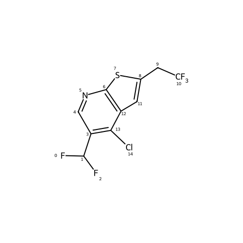 FC(F)c1cnc2sc(CC(F)(F)F)cc2c1Cl